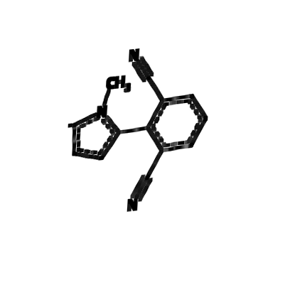 Cn1[c]ccc1-c1c(C#N)cccc1C#N